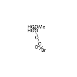 CO[Si](O)(O)OCCOCCOC(=O)C(C)(C)Br